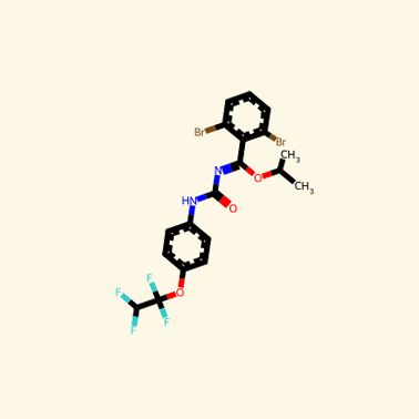 CC(C)O/C(=N\C(=O)Nc1ccc(OC(F)(F)C(F)F)cc1)c1c(Br)cccc1Br